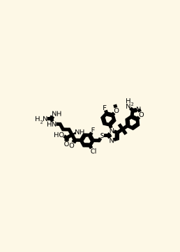 COc1cc(-n2c(C(C)(C)c3ccc4onc(N)c4c3)cnc2SCc2c(F)cc(C(=O)[C@@](N)(CCCNC(=N)N)C(=O)O)cc2Cl)ccc1F